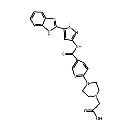 O=C(O)CN1CCN(c2ccc(C(=O)Nc3cc(-c4nc5ccccc5[nH]4)[nH]n3)cn2)CC1